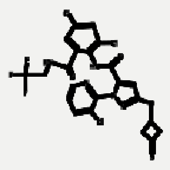 O=C(NCC(F)(F)F)c1cc(Cl)cc(Cl)c1NC(=O)c1cc(OC2CC(=S)C2)nn1-c1ncccc1Cl